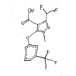 Cn1nc(C(F)F)c(C(=O)O)c1Oc1cccc(C(F)(F)F)c1